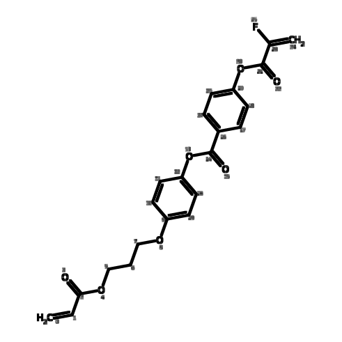 C=CC(=O)OCCCOc1ccc(OC(=O)c2ccc(OC(=O)C(=C)F)cc2)cc1